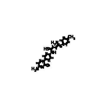 Cc1ccc(S/C(N)=C/C=C(/S)Nc2ccc(-n3ccc(N)nc3=O)cc2)cc1